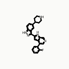 Fc1ccccc1-c1cncc2[nH]c(-c3n[nH]c4ccc(C5CCNCC5)cc34)cc12